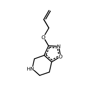 C=CCOc1noc2c1CNCC2